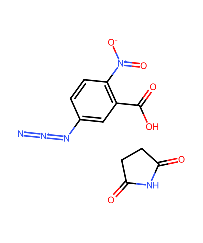 O=C1CCC(=O)N1.[N-]=[N+]=Nc1ccc([N+](=O)[O-])c(C(=O)O)c1